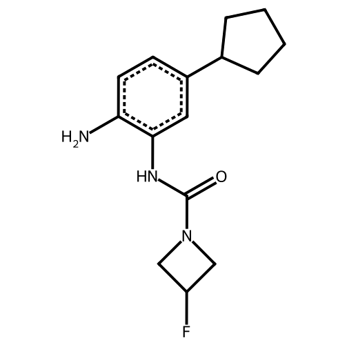 Nc1ccc(C2CCCC2)cc1NC(=O)N1CC(F)C1